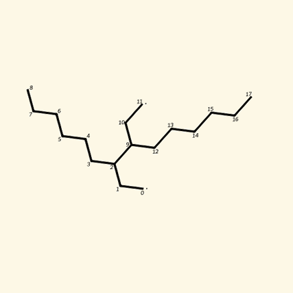 [CH2]CC(CCCCCC)C(C[CH2])CCCCCC